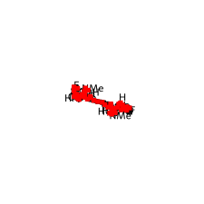 CN[C@@H](C(=O)N[C@@H](Cc1ccc(OCC#CC#CCOc2ccc(C[C@H](NC(=O)[C@H](NC)[C@H](C)O)C(=O)N3CC(C)(C)c4[nH]c(=O)c(Cc5ccc(F)cc5)cc43)cc2)cc1)C(=O)N1CC(C)(C)c2[nH]c(=O)c(Cc3ccc(F)cc3)cc21)[C@H](C)O